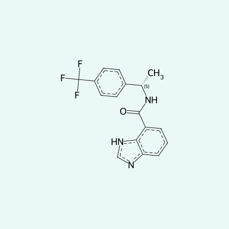 C[C@H](NC(=O)c1cccc2nc[nH]c12)c1ccc(C(F)(F)F)cc1